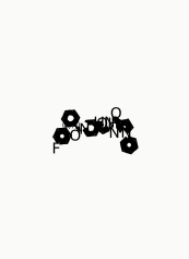 O=C([C@@H]1CCCC[C@H]1c1ccc(F)cc1)N1CCC(O)(Cc2nc3c(ccn3-c3ccccc3)c(=O)[nH]2)CC1